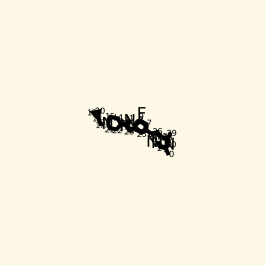 Cc1cn2nc(-c3cc(F)c4nn(C5CCN(CC6CC6)CC5)cc4c3)cc2c(C)n1